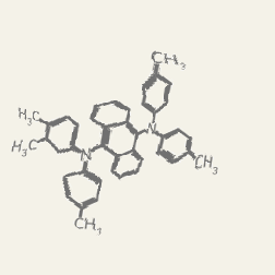 CC1=CC=C(N(c2ccc(C)cc2)c2c3ccccc3c(N(c3ccc(C)cc3)c3ccc(C)cc3)c3ccccc23)CC1C